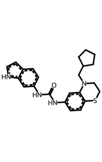 O=C(Nc1ccc2c(c1)N(CC1CCCC1)CCS2)Nc1ccc2cc[nH]c2c1